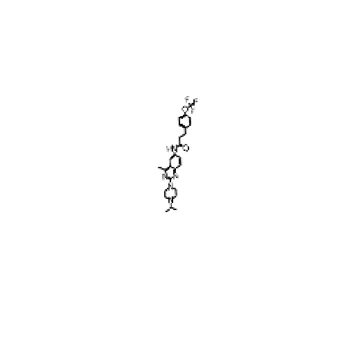 Cc1nc(N2CCN(C(C)C)CC2)nc2ccc(NC(=O)CCc3ccc(OC(F)(F)F)cc3)cc12